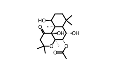 CC(=O)O[C@H]1[C@@H](O)C2C(C)(C)CC[C@H](O)[C@]2(C)[C@@]2(O)C(=O)CC(C)(C)O[C@]12C